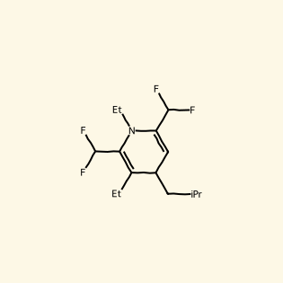 CCC1=C(C(F)F)N(CC)C(C(F)F)=CC1CC(C)C